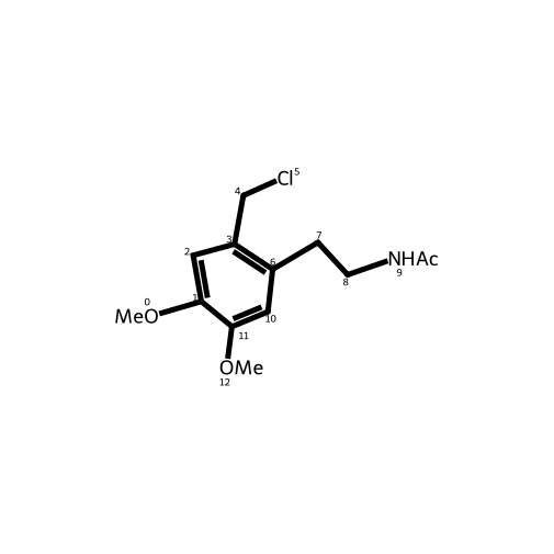 COc1cc(CCl)c(CCNC(C)=O)cc1OC